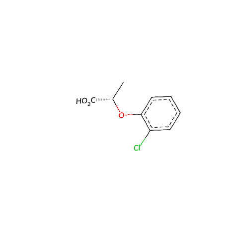 C[C@H](Oc1ccccc1Cl)C(=O)O